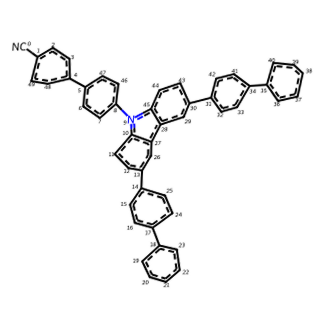 N#Cc1ccc(-c2ccc(-n3c4ccc(-c5ccc(-c6ccccc6)cc5)cc4c4cc(-c5ccc(-c6ccccc6)cc5)ccc43)cc2)cc1